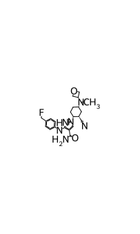 CN(C1COC1)[C@H]1CC[C@@H](n2cc(C(N)=O)c(Nc3ccc(CF)cc3)n2)[C@H](C#N)C1